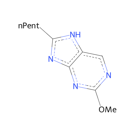 CCCCCc1nc2nc(OC)ncc2[nH]1